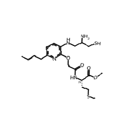 CCCCc1ccc(NCC(N)CS)c(OCC(=O)N[C@@H](CCSC)C(=O)OC)n1